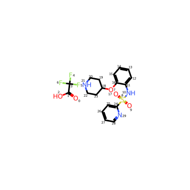 O=C(O)C(F)(F)F.O=S(=O)(Nc1ccccc1OC1CCNCC1)c1ccccn1